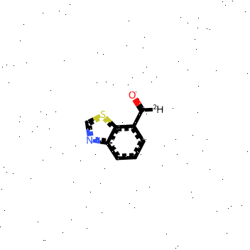 [2H]C(=O)c1cccc2ncsc12